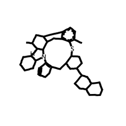 Cc1ccc2c3c1SC1CCC(C4CCC5CCCCC5C4)CC1CC1=C(C#CCC1)N1C4CCCCC4[C@@H]4C(C)CC2C(C3)C41